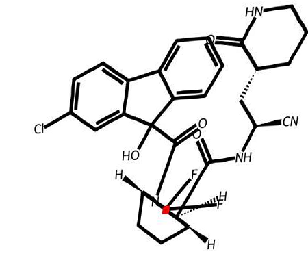 N#C[C@H](C[C@H]1CCCNC1=O)NC(=O)[C@H]1[C@@H]2CC[C@@H](CC2(F)F)N1C(=O)C1(O)c2ccccc2-c2ccc(Cl)cc21